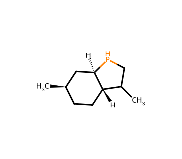 CC1CP[C@@H]2C[C@H](C)CC[C@@H]12